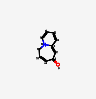 O=C1[C]=C2C=CC=CN2CC=C1